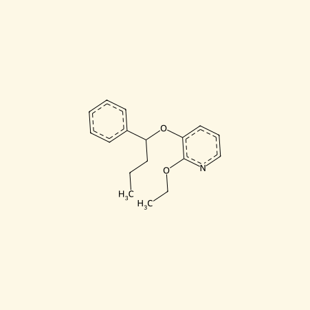 CCCC(Oc1cccnc1OCC)c1ccccc1